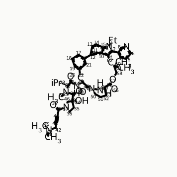 CCn1c(-c2cccnc2)c2c3cc(ccc31)-c1cccc(c1)C[C@H](NC(=O)[C@H](C(C)C)N(C)C(=O)[C@@]1(O)CCN(C(=O)C#CCN(C)C)C1)C(=O)N1CCC[C@H](N1)C(=O)OCC(C)(C)C2